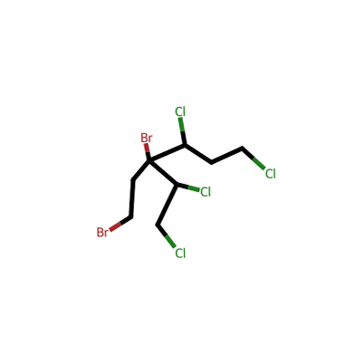 ClCCC(Cl)C(Br)(CCBr)C(Cl)CCl